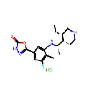 CC[C@@H]1CNCC[C@@H]1[C@H](C)Nc1cc(-c2n[nH]c(=O)o2)cc(F)c1C.Cl